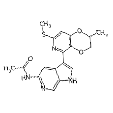 CSc1cc2c(c(-c3c[nH]c4cnc(NC(C)=O)cc34)n1)OCC(C)O2